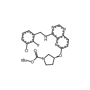 CC(C)(C)OC(=O)N1CC[C@H](Oc2ccc3ncnc(NCc4cccc(Cl)c4F)c3n2)C1